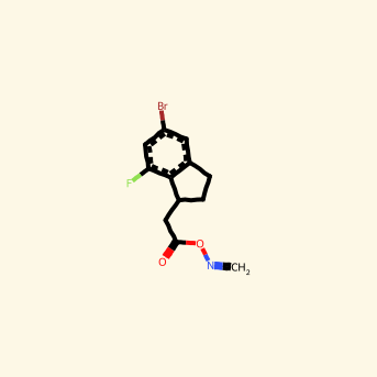 C=NOC(=O)CC1CCc2cc(Br)cc(F)c21